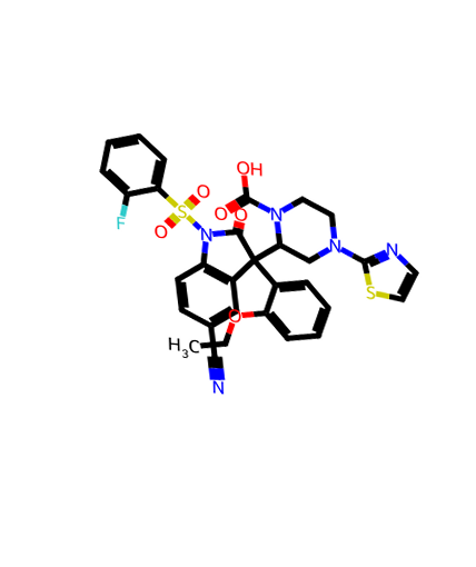 CCOc1ccccc1C1(C2CN(c3nccs3)CCN2C(=O)O)C(=O)N(S(=O)(=O)c2ccccc2F)c2ccc(C#N)cc21